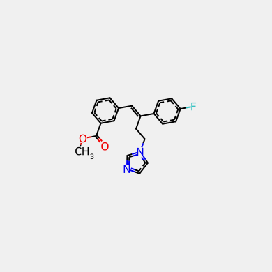 COC(=O)c1cccc(/C=C(\CCn2ccnc2)c2ccc(F)cc2)c1